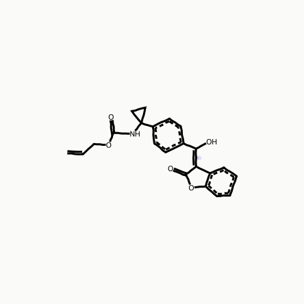 C=CCOC(=O)NC1(c2ccc(/C(O)=C3\C(=O)Oc4ccccc43)cc2)CC1